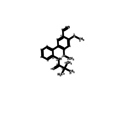 COc1cc(OC)c(-c2ccccc2NC(=O)C(C)(C)C)cc1C=O